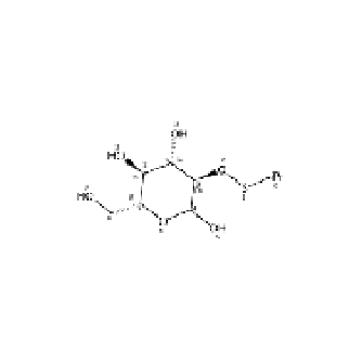 CC(C)SO[C@H]1C(O)O[C@H](CO)[C@@H](O)[C@@H]1O